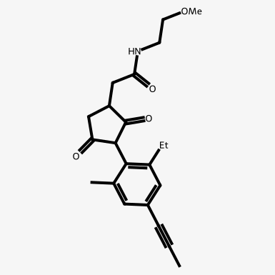 CC#Cc1cc(C)c(C2C(=O)CC(CC(=O)NCCOC)C2=O)c(CC)c1